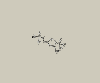 O=P(O)(O)OC=C(O)C=C(O)OP(=O)(O)O